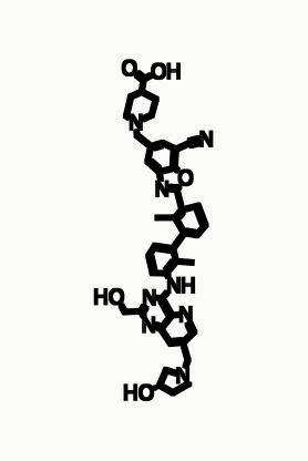 Cc1c(Nc2nc(CO)nc3cc(CN4CC[C@@H](O)C4)cnc23)cccc1-c1cccc(-c2nc3cc(CN4CCC(C(=O)O)CC4)cc(C#N)c3o2)c1C